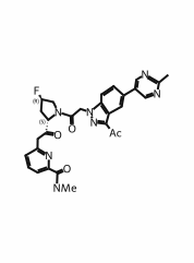 CNC(=O)c1cccc(CC(=O)[C@@H]2C[C@@H](F)CN2C(=O)Cn2nc(C(C)=O)c3cc(-c4cnc(C)nc4)ccc32)n1